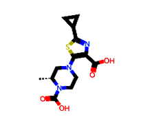 C[C@@H]1CN(c2sc(C3CC3)nc2C(=O)O)CCN1C(=O)O